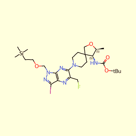 C[C@@H]1OCC2(CCN(c3nc4c(nc3CF)c(I)nn4COCC[Si](C)(C)C)CC2)[C@@H]1NC(=O)OC(C)(C)C